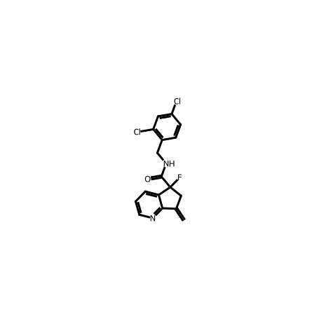 C=C1CC(F)(C(=O)NCc2ccc(Cl)cc2Cl)c2cccnc21